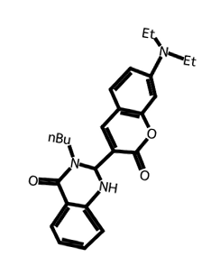 CCCCN1C(=O)c2ccccc2NC1c1cc2ccc(N(CC)CC)cc2oc1=O